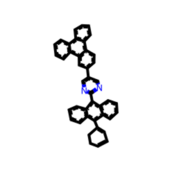 C1=CCCC(c2c3ccccc3c(-c3ncc(-c4ccc5c6ccccc6c6ccccc6c5c4)cn3)c3ccccc23)=C1